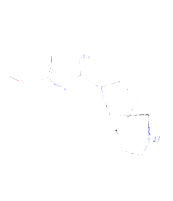 COC1=CCNC(N2CCC3(CCCNC3=O)C2)=N1